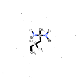 C=C[Si](C)(C)C[Si](C)(N(CC)CC)N(CC)CC